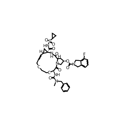 CN(Cc1ccccc1)C(=O)N[C@H]1CCCCC/C=C\[C@@H]2C[C@@]2(C(=O)NS(=O)(=O)C2CC2)NC(=O)[C@@H]2C[C@@H](OC(=O)N3Cc4cccc(F)c4C3)CN2C1=O